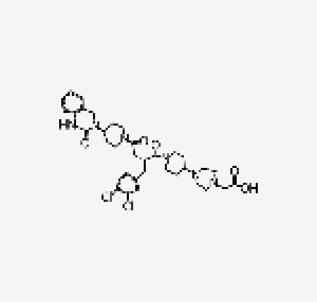 O=C(O)CN1CCN(C2CCN(C(=O)[C@@H](CC(=O)N3CCC(N4Cc5ccccc5NC4=O)CC3)Cc3ccc(Cl)c(Cl)c3)CC2)CC1